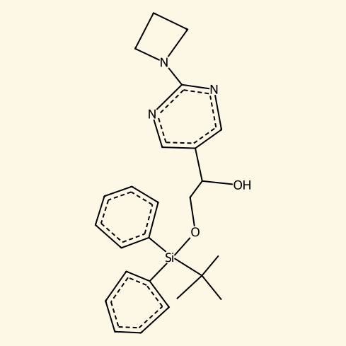 CC(C)(C)[Si](OCC(O)c1cnc(N2CCC2)nc1)(c1ccccc1)c1ccccc1